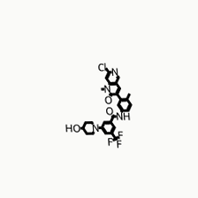 Cc1ccc(NC(=O)c2cc(N3CCC(O)CC3)cc(C(F)(F)F)c2)cc1-c1cc2cnc(Cl)cc2n(C)c1=O